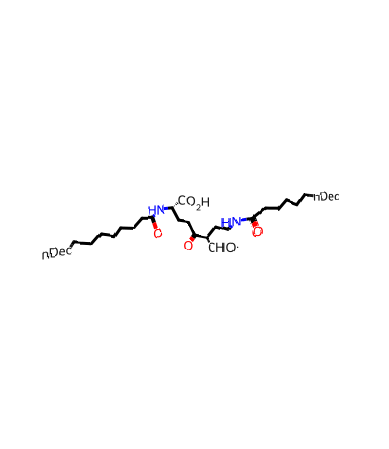 CCCCCCCCCCCCCCCCCC(=O)N[C@@H](CCC(=O)C([C]=O)CCNC(=O)CCCCCCCCCCCCCCC)C(=O)O